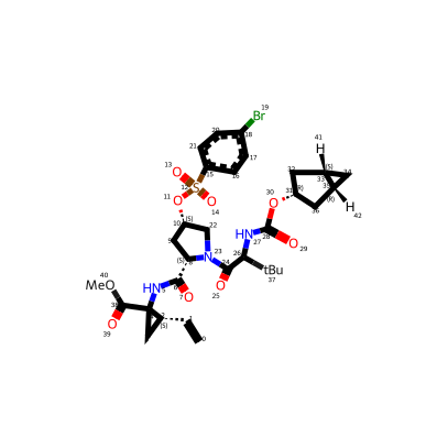 C=C[C@@H]1CC1(NC(=O)[C@@H]1C[C@H](OS(=O)(=O)c2ccc(Br)cc2)CN1C(=O)C(NC(=O)O[C@@H]1C[C@@H]2C[C@@H]2C1)C(C)(C)C)C(=O)OC